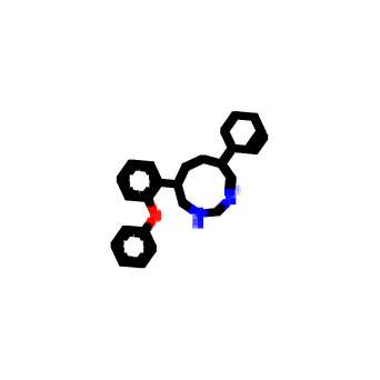 C1#CC(C2/C=N\CNCC(c3ccccc3Oc3ccccc3)CC2)CCC1